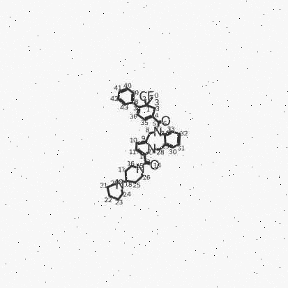 CC1(C(F)(F)F)CC(C(=O)N2Cc3ccc(C(=O)N4CCC(N5CCCCC5)CC4)n3Cc3ccccc32)=CC=C1c1ccccc1